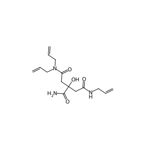 C=CCNC(=O)CC(O)(CC(=O)N(CC=C)CC=C)C(N)=O